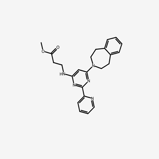 COC(=O)CCNc1cc(N2CCc3ccccc3CC2)nc(-c2ccccn2)n1